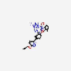 C#CCOc1ccc(-c2ccc(OCc3c(C)cccc3N(N)C(=O)NN)c(C)c2)nn1